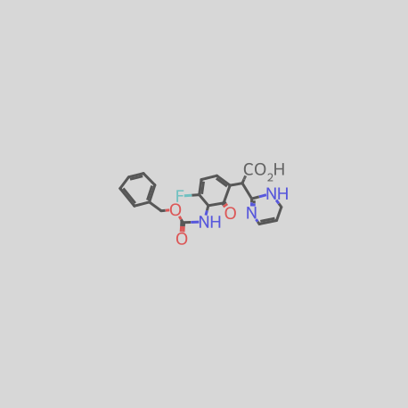 O=C(NC1C(=O)C(C(C(=O)O)C2=NC=CCN2)=CC=C1F)OCc1ccccc1